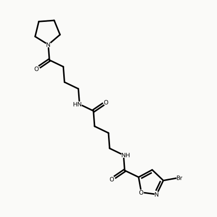 O=C(CCCNC(=O)c1cc(Br)no1)NCCCC(=O)N1CCCC1